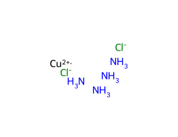 N.N.N.N.[Cl-].[Cl-].[Cu+2]